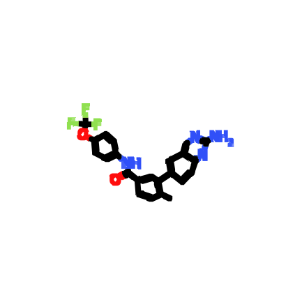 Cc1ccc(C(=O)Nc2ccc(OC(F)(F)F)cc2)cc1-c1ccc2nc(N)ncc2c1